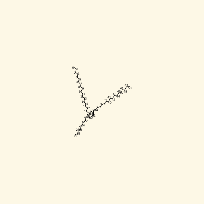 CCCCCCCCCCCCCCCCCCCC1N(CCCCCCCCC)C=CN1CCCCCCCCCCCCCCCCCC